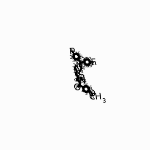 COc1ccc(C(=O)c2cc(CN3CCN(C(c4ccc(F)cc4)c4ccc(F)cc4)CC3)on2)cc1